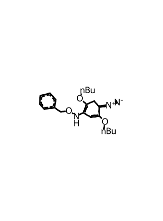 CCCCOC1=CC(NOCc2ccccc2)=C(OCCCC)CC1=[N+]=[N-]